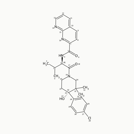 CC(C)[C@@H](NC(=O)c1ccc2cccnc2n1)C(=O)N1CC[C@](O)(c2ccc(Cl)cc2)C(C)(C)C1